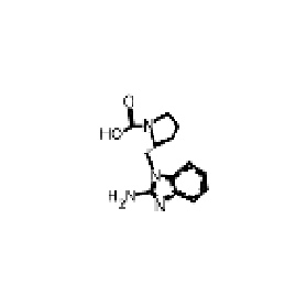 Nc1nc2ccccc2n1C[C@H]1CCCN1C(=O)O